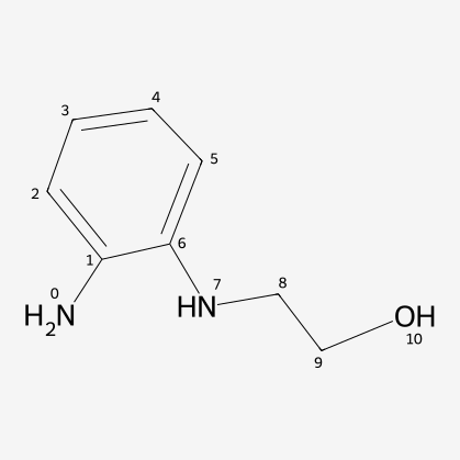 Nc1ccccc1NCCO